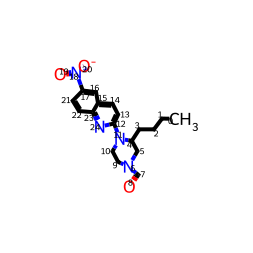 CCCCC1CN(C=O)CCN1c1ccc2cc([N+](=O)[O-])ccc2n1